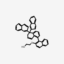 OCCOc1ccc2ccccc2c1-c1cccc2c1C=CCC2(c1ccc2ccccc2c1)c1ccc2ccccc2c1